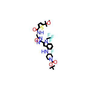 COC(C)(C)c1ccc(C(=O)NCc2nc(-c3cc4c(N[C@H]5CCN(C(=O)OC(C)(C)C)C[C@H]5F)cccc4n3CC(F)(F)F)no2)s1